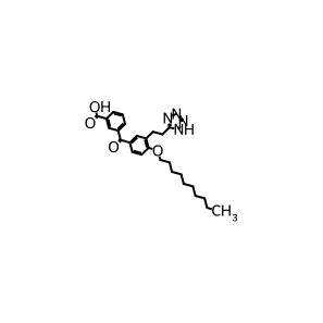 CCCCCCCCCCOc1ccc(C(=O)c2cccc(C(=O)O)c2)cc1CCc1nnn[nH]1